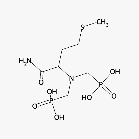 CSCCC(C(N)=O)N(CP(=O)(O)O)CP(=O)(O)O